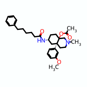 COc1cccc([C@@]23CCN(C)C[C@@]2(OC(C)=O)CC[C@@H](NC(=O)CCCCCc2ccccc2)C3)c1